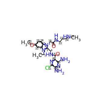 CCn1c(CNC(=O)c2nc(Cl)c(N)nc2N)[n+](CC(=O)NCCCNC)c2ccc(OC)cc21